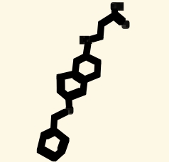 O=C(O)CCNC1CCc2cc(OCc3ccccc3)ccc2C1